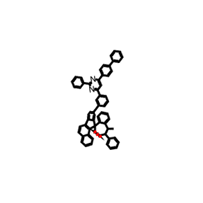 CC1c2ccccc2C2(c3cc(-c4cccc(-c5cc(-c6ccc(-c7ccccc7)cc6)nc(-c6ccccc6)n5)c4)ccc3-c3ccc4ccccc4c32)c2ccccc2C1c1ccccc1